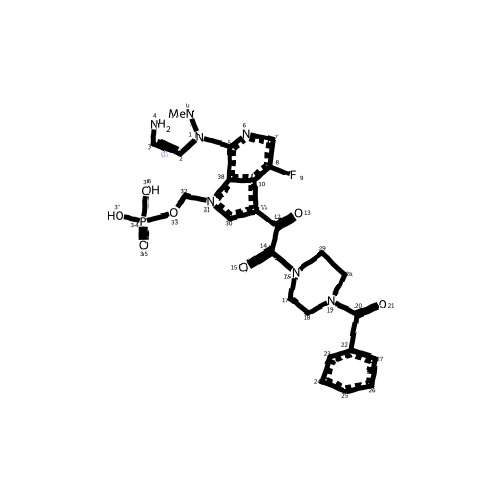 CNN(/C=C\N)c1ncc(F)c2c(C(=O)C(=O)N3CCN(C(=O)c4ccccc4)CC3)cn(COP(=O)(O)O)c12